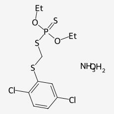 CCOP(=S)(OCC)SCSc1cc(Cl)ccc1Cl.N.O